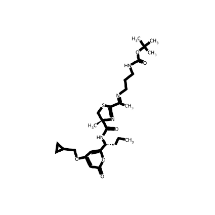 CCC[C@@H](NC(=O)[C@]1(C)CSC(/C(C)=N/CCCNC(=O)OC(C)(C)C)=N1)c1cc(OCC2CC2)cc(=O)o1